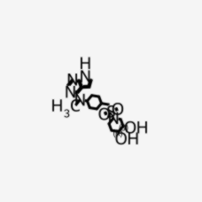 CN(c1ncnc2[nH]ccc12)C1CCC(CS(=O)(=O)N2CC[C@@H](O)[C@@H](O)C2)CC1